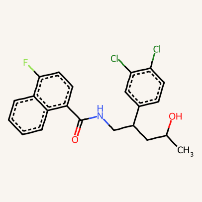 CC(O)CC(CNC(=O)c1ccc(F)c2ccccc12)c1ccc(Cl)c(Cl)c1